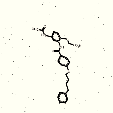 O=CC(=O)Nc1ccc(OCC(=O)O)c(NC(=O)c2ccc(OCCCCc3ccccc3)cc2)c1